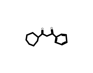 O=C(CC(=O)C1CCCCCC1)c1ccccc1